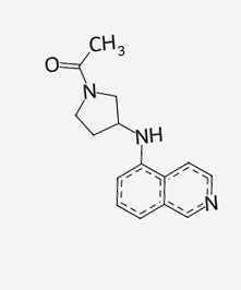 CC(=O)N1CCC(Nc2cccc3cnccc23)C1